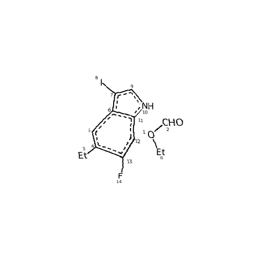 CCOC=O.CCc1cc2c(I)c[nH]c2cc1F